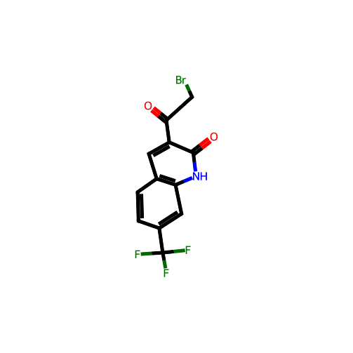 O=C(CBr)c1cc2ccc(C(F)(F)F)cc2[nH]c1=O